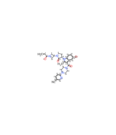 C=CC(=O)N1CC(N2CCC(n3c(C)c(C(=O)N4CCN(c5ccc(C#N)cn5)CC4)c4cc(Br)ccc43)C2=O)C1